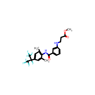 COC(=O)CCNc1cccc(C(=O)Nc2c(C)cc(C(F)(C(F)(F)F)C(F)(F)F)cc2C)c1